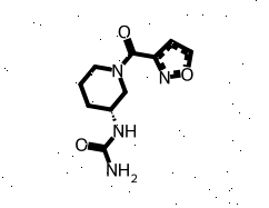 NC(=O)N[C@@H]1CCCN(C(=O)c2ccon2)C1